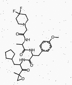 COc1ccc(CC(NC(=O)C(C)NC(=O)CN2CCC(F)(F)CC2)C(=O)NC(CC2CCCC2)C(=O)C2(C)CO2)cc1